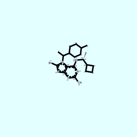 CC1CCC(C(C)n2c(Br)nc3nc(C#N)nc(N[C@H](C)C4CCC4)c32)CC1